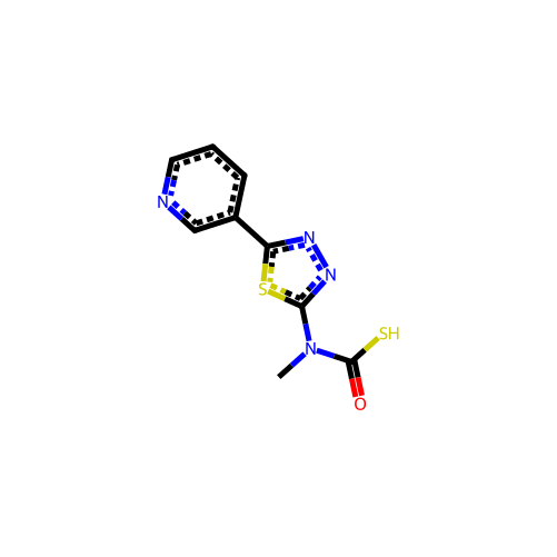 CN(C(=O)S)c1nnc(-c2cccnc2)s1